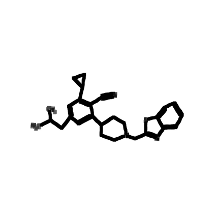 CC(C)Cc1cc(C2CC2)c(C#N)c(C2CCN(Cc3nc4ccccc4s3)CC2)c1